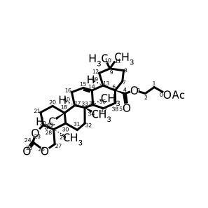 CC(=O)OCCOC(=O)[C@]12CCC(C)(C)C[C@@H]1C1=CC[C@@H]3[C@@]4(C)CCC5OC(=O)OC[C@]5(C)C4CC[C@@]3(C)[C@]1(C)CC2